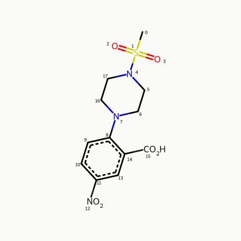 CS(=O)(=O)N1CCN(c2ccc([N+](=O)[O-])cc2C(=O)O)CC1